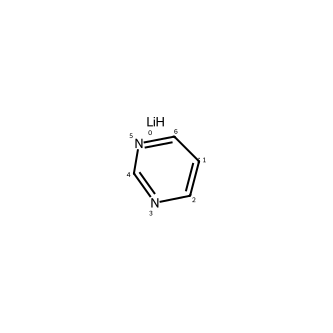 [LiH].[c]1cncnc1